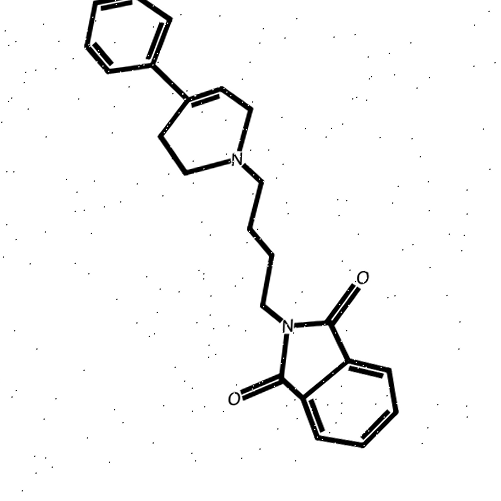 O=C1c2ccccc2C(=O)N1CCCCN1CC=C(c2ccccc2)CC1